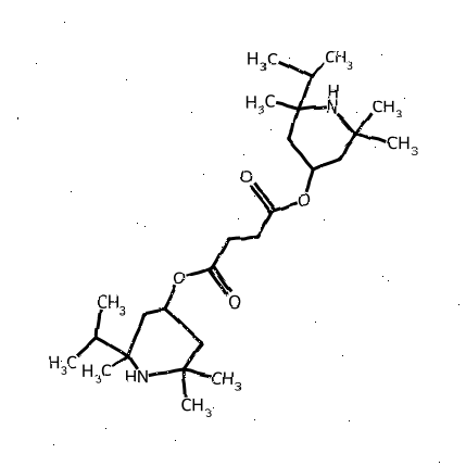 CC(C)C1(C)CC(OC(=O)CCC(=O)OC2CC(C)(C)NC(C)(C(C)C)C2)CC(C)(C)N1